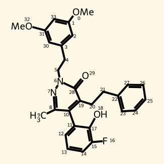 COc1cc(CCn2nc(C)c(-c3cccc(F)c3O)c(CCc3ccccc3)c2=O)cc(OC)c1